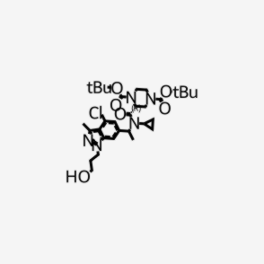 Cc1nn(CCCO)c2cc(C(C)N(C(=O)[C@H]3CN(C(=O)OC(C)(C)C)CCN3C(=O)OC(C)(C)C)C3CC3)cc(Cl)c12